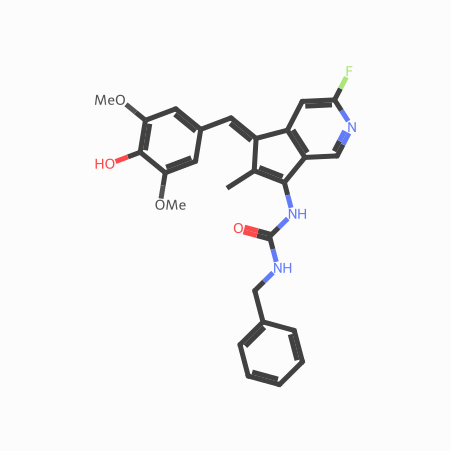 COc1cc(C=C2C(C)=C(NC(=O)NCc3ccccc3)c3cnc(F)cc32)cc(OC)c1O